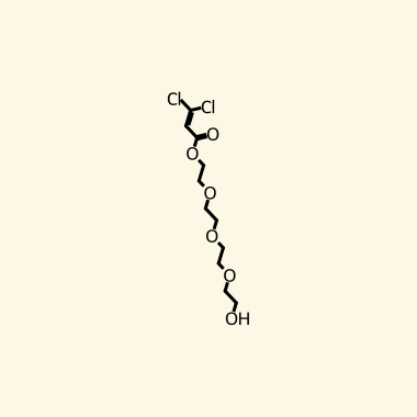 O=C(C=C(Cl)Cl)OCCOCCOCCOCCO